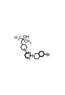 CC(C)(O)CC1CCN(c2ccnc(N3CCc4cc(Br)ccc4C3)n2)CC1